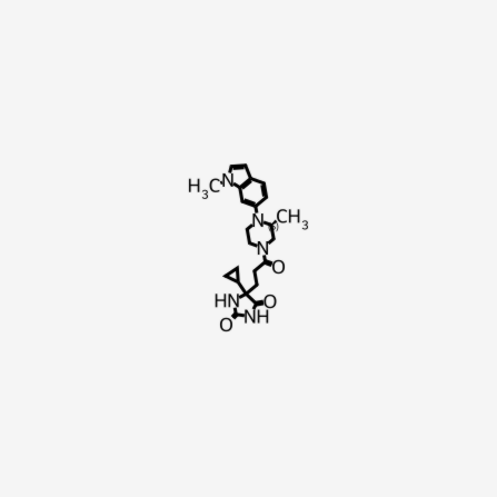 C[C@H]1CN(C(=O)CCC2(C3CC3)NC(=O)NC2=O)CCN1c1ccc2ccn(C)c2c1